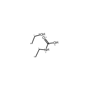 CCNC(=O)O.CCO